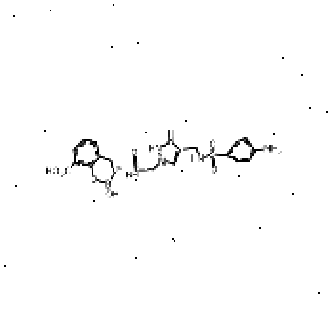 Nc1ccc(S(=O)(=O)NCC2=CN(CC(=O)N[C@H]3Cc4cccc(C(=O)O)c4OB3O)NN2)cc1